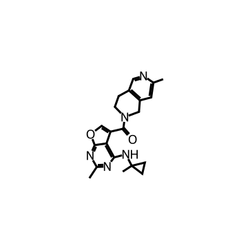 Cc1cc2c(cn1)CCN(C(=O)c1coc3nc(C)nc(NC4(C)CC4)c13)C2